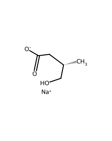 C[C@H](CO)CC(=O)[O-].[Na+]